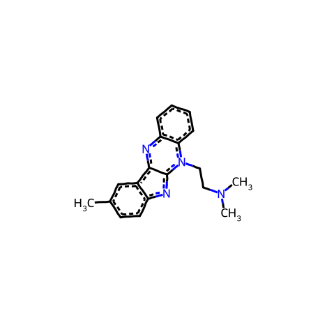 Cc1ccc2nc3n(CCN(C)C)c4ccccc4nc-3c2c1